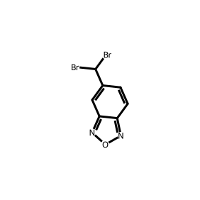 BrC(Br)c1ccc2nonc2c1